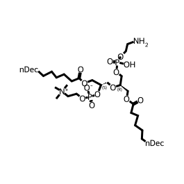 CCCCCCCCCCCCCCCC(=O)OC[C@H](COP(=O)(O)OCCN)OC[C@@H](COC(=O)CCCCCCCCCCCCCCC)OP(=O)([O-])OCC[N+](C)(C)C